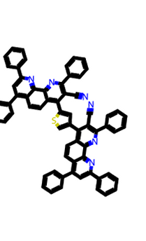 N#Cc1c(-c2ccccc2)nc2c(ccc3c(-c4ccccc4)cc(-c4ccccc4)nc32)c1-c1csc(-c2c(C#N)c(-c3ccccc3)nc3c2ccc2c(-c4ccccc4)cc(-c4ccccc4)nc23)c1